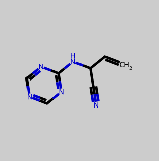 C=CC(C#N)Nc1ncncn1